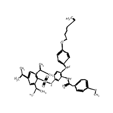 CCCCCCOc1ccc(Nc2ccc(NS(=O)(=O)c3c(C(C)C)cc(C(C)C)cc3C(C)C)cc2NC(=O)c2ccc(OC)cc2)cc1